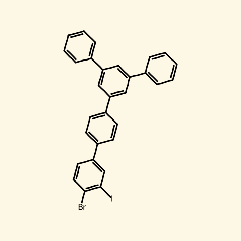 Brc1ccc(-c2ccc(-c3cc(-c4ccccc4)cc(-c4ccccc4)c3)cc2)cc1I